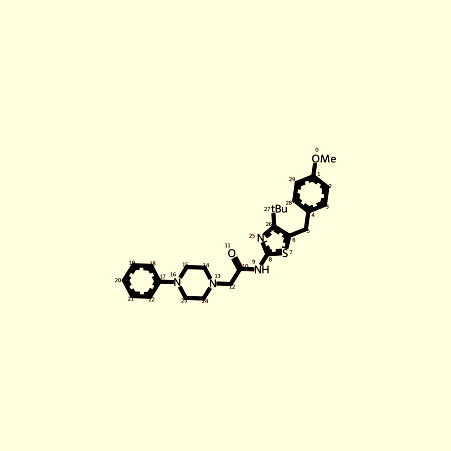 COc1ccc(Cc2sc(NC(=O)CN3CCN(c4ccccc4)CC3)nc2C(C)(C)C)cc1